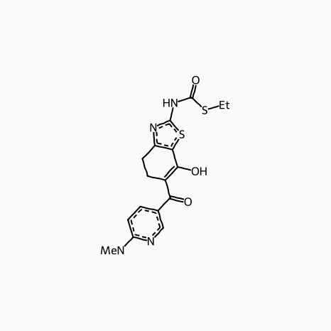 CCSC(=O)Nc1nc2c(s1)C(O)=C(C(=O)c1ccc(NC)nc1)CC2